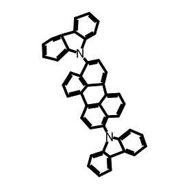 c1cc2c(-n3c4ccccc4c4ccccc43)ccc3c4cccc5c(-n6c7ccccc7c7ccccc76)ccc(c(c1)c23)c54